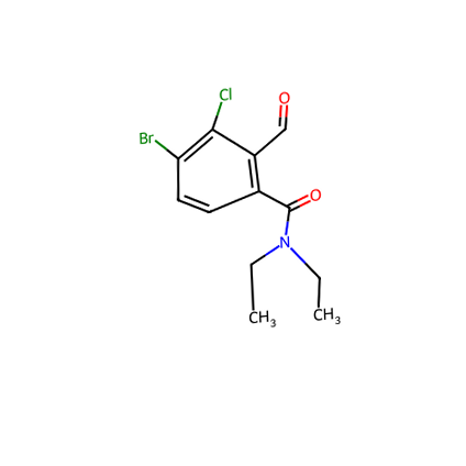 CCN(CC)C(=O)c1ccc(Br)c(Cl)c1C=O